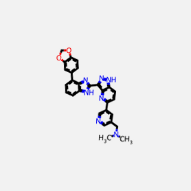 CN(C)Cc1cncc(-c2ccc3[nH]nc(-c4nc5c(-c6ccc7c(c6)OCO7)cccc5[nH]4)c3n2)c1